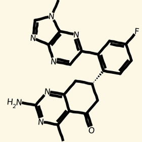 Cc1nc(N)nc2c1C(=O)C[C@@H](c1ccc(F)cc1-c1cnc3ncn(C)c3n1)C2